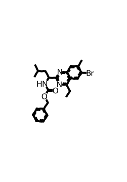 CCc1nc(C(CC(C)C)NC(=O)OCc2ccccc2)nc2cc(C)c(Br)cc12